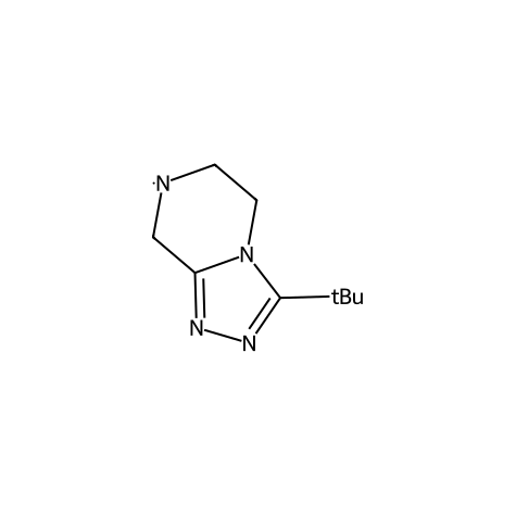 CC(C)(C)c1nnc2n1CC[N]C2